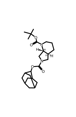 CC(C)(C)OC(=O)N1CCC[C@H]2CN(C(=O)OC3C4CC5CC(C4)CC3C5)C[C@@H]21